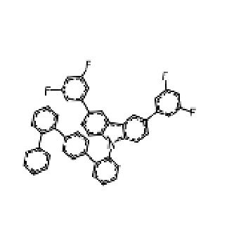 Fc1cc(F)cc(-c2ccc3c(c2)c2cc(-c4cc(F)cc(F)c4)ccc2n3-c2ccccc2-c2ccc(-c3ccccc3-c3ccccc3)cc2)c1